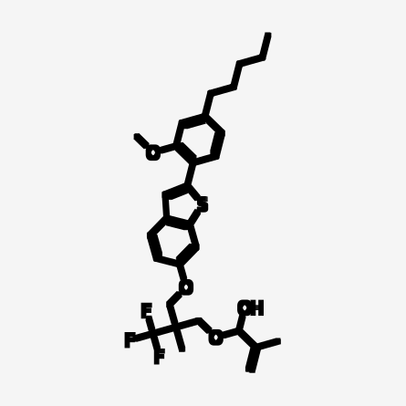 C=C(C)C(O)OCC(C)(COc1ccc2cc(-c3ccc(CCCCC)cc3OC)sc2c1)C(F)(F)F